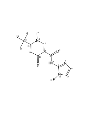 Cn1cc(C(=O)Nc2nccn2F)c(=O)cc1C(C)(C)C